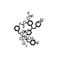 CC(C)(Cc1ccc(F)cc1)N(C(=O)OCc1ccccc1)c1ccc(C(Cc2cc[n+]([O-])cc2)c2ccc(OC(F)F)c(OC(F)F)c2)c[n+]1[O-]